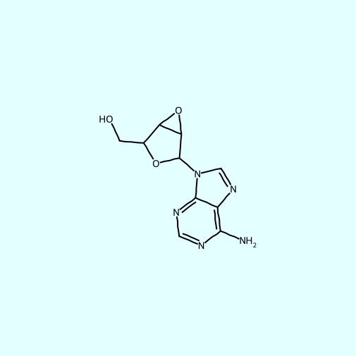 Nc1ncnc2c1ncn2C1OC(CO)C2OC21